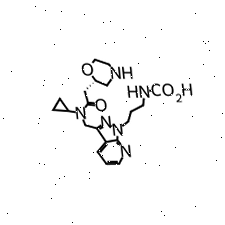 O=C(O)NCCCn1nc(CN(C(=O)C[C@H]2CNCCO2)C2CC2)c2cccnc21